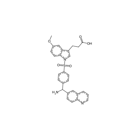 COc1ccc2c(c1)c(CCC(=O)O)cn2S(=O)(=O)c1ccc(C(N)c2ccc3ncccc3c2)cc1